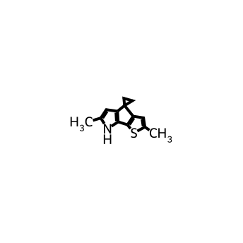 Cc1cc2c([nH]1)-c1sc(C)cc1C21CC1